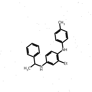 CCc1cc(NC(C)c2ccccc2)ccc1Nc1ccc(C)cc1